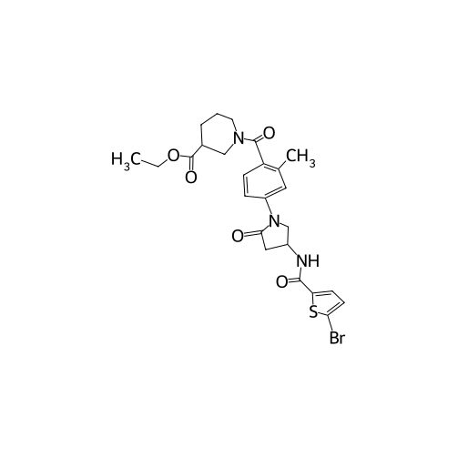 CCOC(=O)C1CCCN(C(=O)c2ccc(N3CC(NC(=O)c4ccc(Br)s4)CC3=O)cc2C)C1